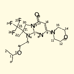 CC(C)OCCN1c2nc(N3CCOCC3)cc(=O)n2CC1(C)C(F)(F)F